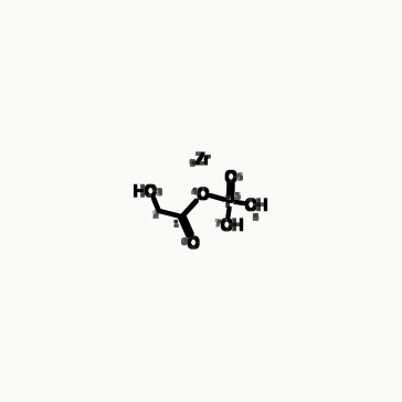 O=C(CO)OP(=O)(O)O.[Zr]